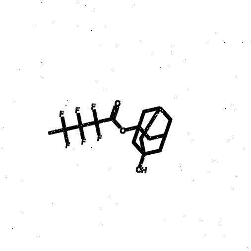 CC(F)(F)C(F)(F)C(F)(F)C(=O)OC12CC3CC(CC(O)(C3)C1)C2